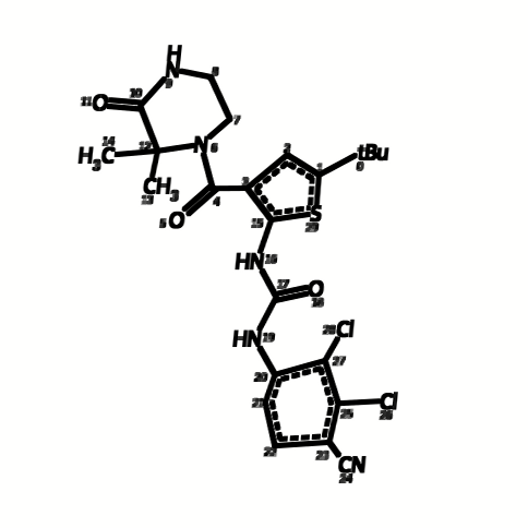 CC(C)(C)c1cc(C(=O)N2CCNC(=O)C2(C)C)c(NC(=O)Nc2ccc(C#N)c(Cl)c2Cl)s1